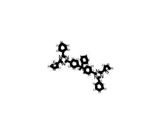 CC(c1ccccc1)(c1ccc(-c2nc(-c3ccccc3)nc(-c3cccs3)n2)cc1)c1ccc(-c2nc(-c3ccccc3)nc(-c3cccs3)n2)cc1